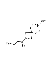 CCCN1CCC2(CC1)CN(C(=O)CCC(C)C)C2